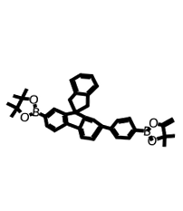 C=C1OB(c2ccc(-c3ccc4c(c3)C3(Cc5ccccc5C3)c3cc(B5OC(C)(C)C(C)(C)O5)ccc3-4)cc2)OC1(C)C